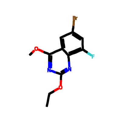 CCOc1nc(OC)c2cc(Br)cc(F)c2n1